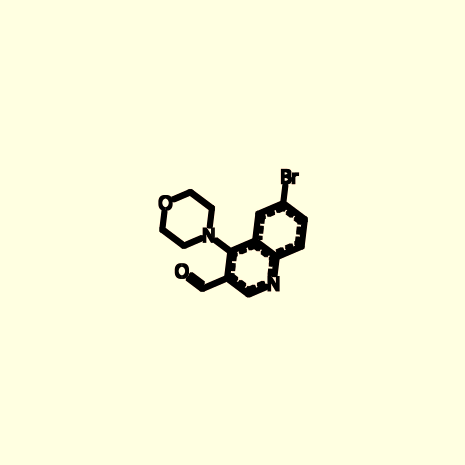 O=Cc1cnc2ccc(Br)cc2c1N1CCOCC1